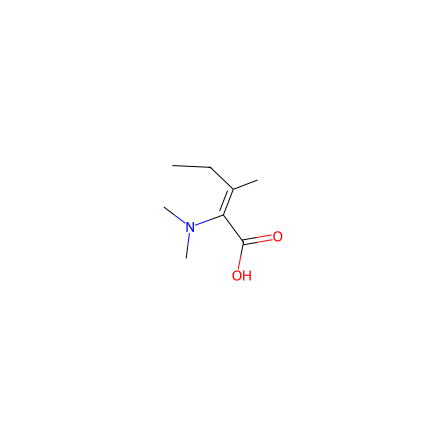 CCC(C)=C(C(=O)O)N(C)C